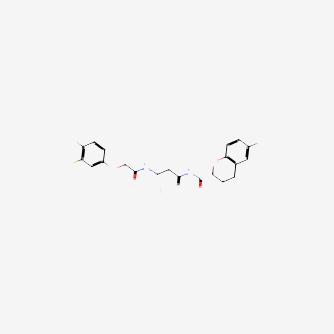 C=C(CCNC(=O)COc1ccc(F)c(F)c1)NC(=O)[C@H]1C[C@@H](O)c2cc(Cl)ccc2O1